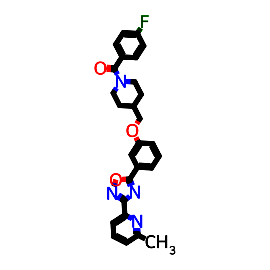 Cc1cccc(-c2noc(-c3cccc(OCC4CCN(C(=O)c5ccc(F)cc5)CC4)c3)n2)n1